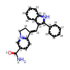 NC(=O)c1ccc2[n+](c1)CC/C2=C\c1c(-c2ccccc2)[nH]c2ccccc12